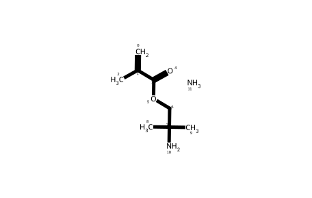 C=C(C)C(=O)OCC(C)(C)N.N